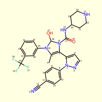 CC1=C(c2ccnn2-c2ccc(C#N)cc2)N(C(=O)NC2CCNCC2)C(O)N1c1cccc(C(F)(F)F)c1